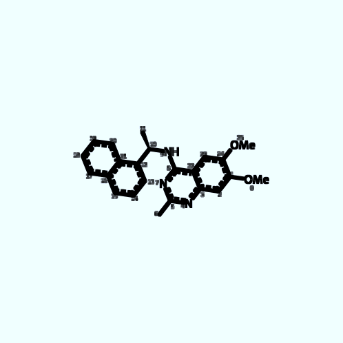 COc1cc2nc(C)nc(N[C@H](C)c3cccc4ccccc34)c2cc1OC